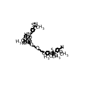 COc1cc(N2C(=O)C(C)(C)N(c3ccc(OCCCCOCCCOCC(=O)NC(C(=O)N4CCC[C@H]4C(=O)NCc4ccc(-c5scnc5C)cc4)C(C)(C)C)cc3)C2=S)ccc1C#N